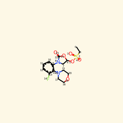 CCS(=O)(=O)OC1CN(c2cccc(F)c2N2CCOCC2)C(=O)O1